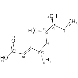 CC[C@H](O)[C@@H](C)C[C@H](C)C=CC(=O)O